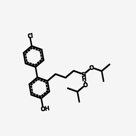 CC(C)O[SiH](CCCc1cc(O)ccc1-c1ccc(Cl)cc1)OC(C)C